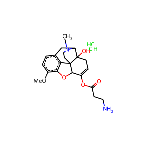 COc1ccc2c3c1OC1C(OC(=O)CCN)=CCC4(O)C(C2)N(C)CCC314.Cl.Cl